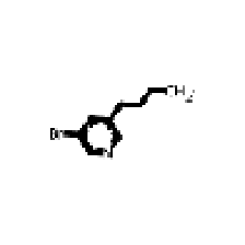 [CH2]CCCc1cncc(Br)c1